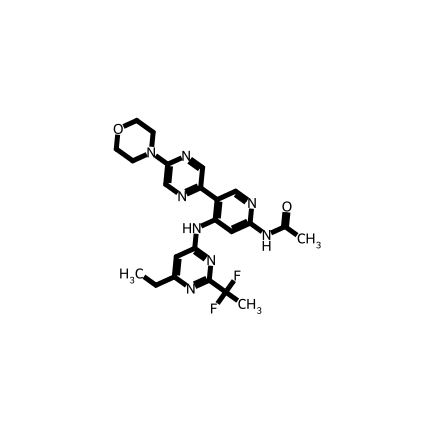 CCc1cc(Nc2cc(NC(C)=O)ncc2-c2cnc(N3CCOCC3)cn2)nc(C(C)(F)F)n1